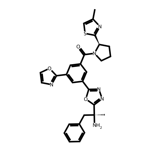 Cc1csc([C@H]2CCCN2C(=O)c2cc(-c3ncco3)cc(-c3nnc([C@@](C)(N)Cc4ccccc4)o3)c2)n1